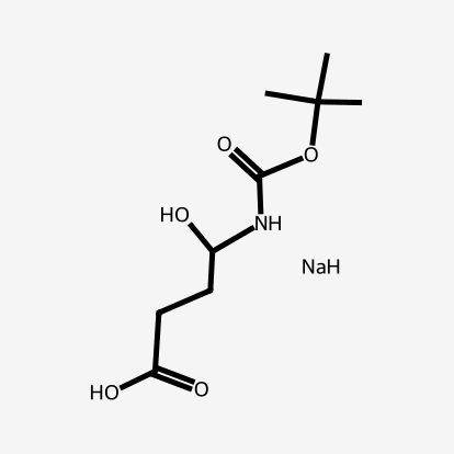 CC(C)(C)OC(=O)NC(O)CCC(=O)O.[NaH]